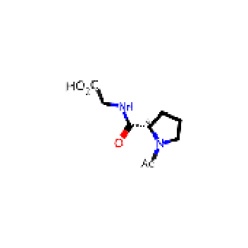 CC(=O)N1CCC[C@H]1C(=O)NCC(=O)O